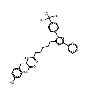 CC(C)(C)c1ccc(-n2nc(-c3ccccn3)cc2CCCCCC(=O)N[C@@H](Cc2ccc(O)cc2)C(N)=O)cc1